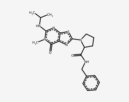 CC(C)Nc1nc2sc(N3CCCC3C(=O)NCc3ccccc3)nc2c(=O)n1C